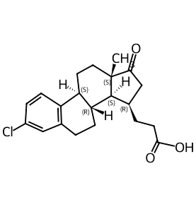 C[C@]12CC[C@@H]3c4ccc(Cl)cc4CC[C@H]3[C@@H]1[C@H](CCC(=O)O)CC2=O